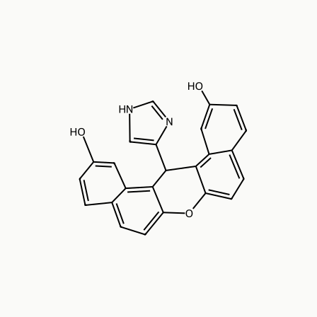 Oc1ccc2ccc3c(c2c1)C(c1c[nH]cn1)c1c(ccc2ccc(O)cc12)O3